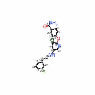 NC(=O)c1ccc(Oc2ccc(CNCCc3cccc(F)c3)cn2)c(Cl)c1